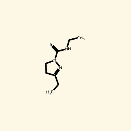 CCNC(=S)N1CCC(CC)=N1